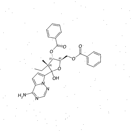 CC[C@]1(C)[C@H](OC(=O)c2ccccc2)[C@@H](COC(=O)c2ccccc2)OC1(O)c1ccc2c(N)ncnn12